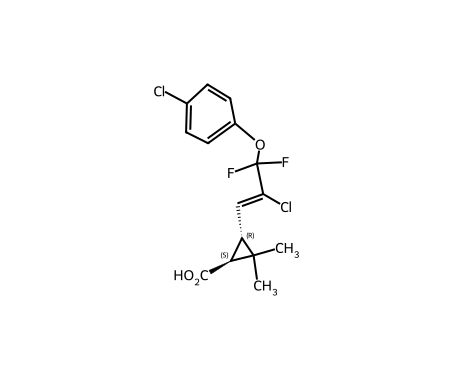 CC1(C)[C@@H](C=C(Cl)C(F)(F)Oc2ccc(Cl)cc2)[C@@H]1C(=O)O